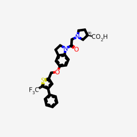 O=C(O)[C@@H]1CCN(CC(=O)N2CCc3cc(OCc4cc(-c5ccccc5)c(C(F)(F)F)s4)ccc32)C1